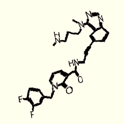 CNCCCN(C)c1ncnc2ccc(C#CCNC(=O)c3cccn(Cc4ccc(F)c(F)c4)c3=O)cc12